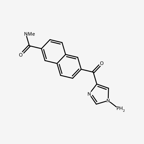 CNC(=O)c1ccc2cc(C(=O)c3cn(P)cn3)ccc2c1